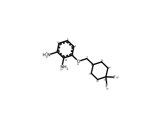 Nc1cccc(OCC2CCC(F)(F)CC2)c1N